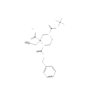 COC(=O)C1(CC#N)CN(C(=O)OC(C)(C)C)CCN1C(=O)OCc1ccccc1